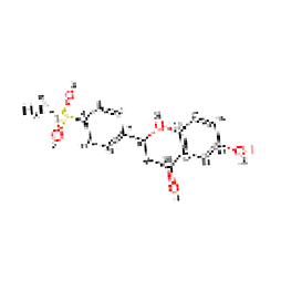 CS(=O)(=O)c1ccc(C2CC(=O)c3cc(O)ccc3O2)cc1